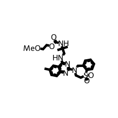 COCCOC(=O)NC(C)(C)CNc1nc(N2CCS(=O)(=O)c3ccccc3C2)nc2ccc(C)cc12